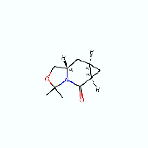 CC1(C)OC[C@@H]2C[C@H]3C[C@H]3C(=O)N21